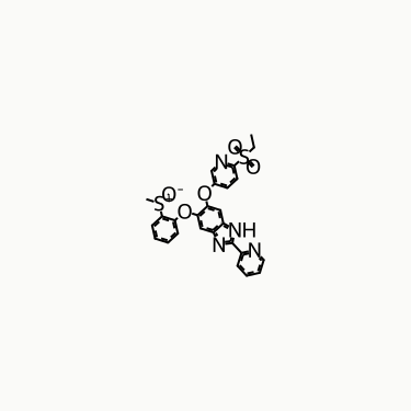 CCS(=O)(=O)c1ccc(Oc2cc3[nH]c(-c4ccccn4)nc3cc2Oc2ccccc2[S+](C)[O-])cn1